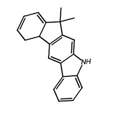 CC1(C)C2=CC=CCC2c2cc3c(cc21)[nH]c1ccccc13